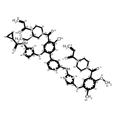 C=CC(=O)N1CCN(C(=O)c2cc(Sc3cnc(Nc4cc(-c5cc(Cl)c(C(=O)N6CCN(C(=O)C=C)[C@H](CC)C6)cc5Sc5cnc(NC(=O)C6CC6)s5)ccn4)s3)c(C)cc2OC)CC1